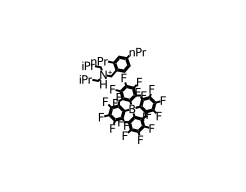 CCCc1ccc(C[NH+](CC(C)C)CC(C)C)c(CCC)c1.Fc1c(F)c(F)c([B-](c2c(F)c(F)c(F)c(F)c2F)(c2c(F)c(F)c(F)c(F)c2F)c2c(F)c(F)c(F)c(F)c2F)c(F)c1F